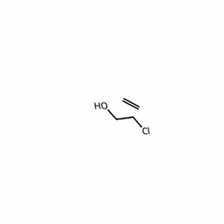 C=C.OCCCl